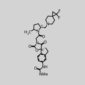 CNC(=O)Nc1ccc2c(c1)CC[C@@]21OC(=O)N(CC(=O)N2C(C)CC[C@H]2CN2CCC3(CC2)CC3(F)F)C1=O